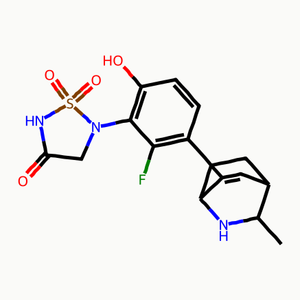 CC1NC2CCC1C=C2c1ccc(O)c(N2CC(=O)NS2(=O)=O)c1F